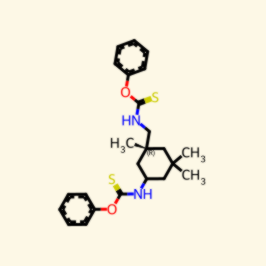 CC1(C)CC(NC(=S)Oc2ccccc2)C[C@](C)(CNC(=S)Oc2ccccc2)C1